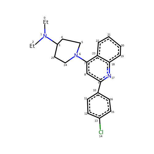 CCN(CC)C1CCN(c2cc(-c3ccc(Cl)cc3)nc3ccccc23)CC1